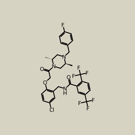 C[C@@H]1CN(Cc2ccc(F)cc2)[C@@H](C)CN1C(=O)COc1ccc(Cl)cc1CNC(=O)c1cc(C(F)(F)F)ccc1C(F)(F)F